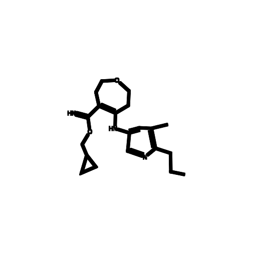 CCCc1ncc(NC2=C(C(=N)OCC3CC3)CCOCC2)cc1C